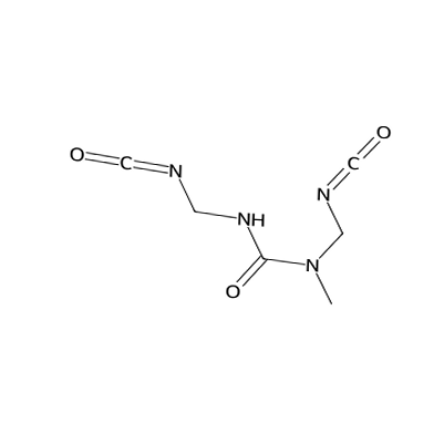 CN(CN=C=O)C(=O)NCN=C=O